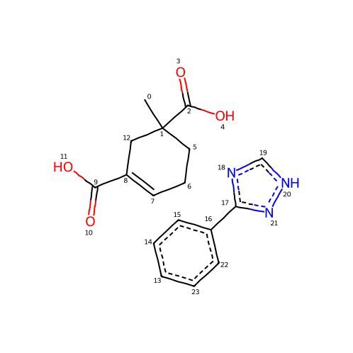 CC1(C(=O)O)CCC=C(C(=O)O)C1.c1ccc(-c2nc[nH]n2)cc1